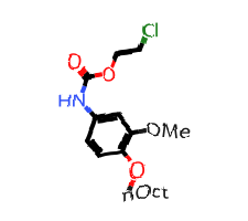 CCCCCCCCOc1ccc(NC(=O)OCCCl)cc1OC